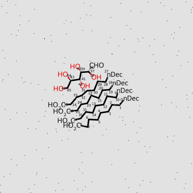 CCCCCCCCCCCCCCCCCC(=O)O.CCCCCCCCCCCCCCCCCC(=O)O.CCCCCCCCCCCCCCCCCC(=O)O.CCCCCCCCCCCCCCCCCC(=O)O.O=C[C@H](O)[C@@H](O)[C@H](O)[C@H](O)CO